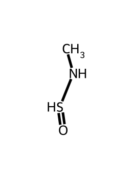 CN[SH]=O